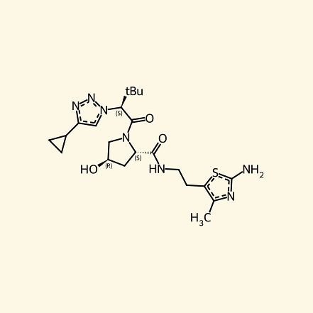 Cc1nc(N)sc1CCNC(=O)[C@@H]1C[C@@H](O)CN1C(=O)[C@@H](n1cc(C2CC2)nn1)C(C)(C)C